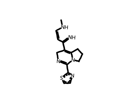 CN/C=C\C(=N)C1=C2CCCN2C(c2nccs2)=NC1